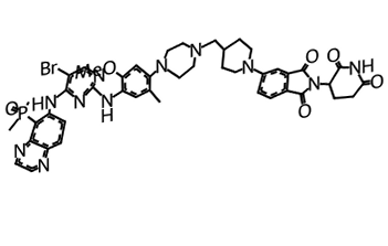 COc1cc(N2CCN(CC3CCN(c4ccc5c(c4)C(=O)N(C4CCC(=O)NC4=O)C5=O)CC3)CC2)c(C)cc1Nc1ncc(Br)c(Nc2ccc3nccnc3c2P(C)(C)=O)n1